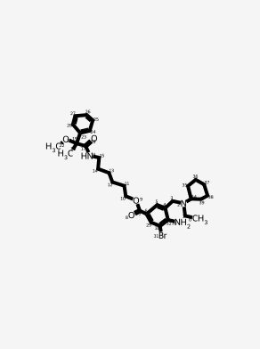 CCN(Cc1cc(C(=O)OCCCCCCNC(=O)C(C)(OC)c2ccccc2)cc(Br)c1N)C1CCCCC1